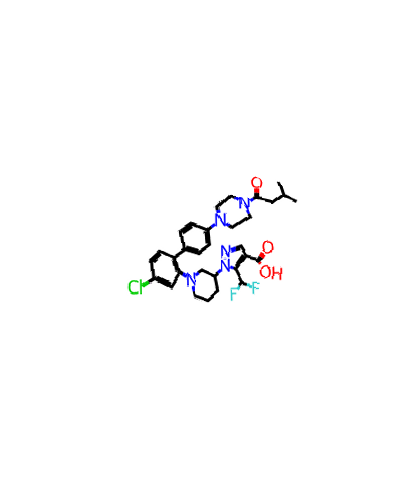 CC(C)CC(=O)N1CCN(c2ccc(-c3ccc(Cl)cc3N3CCCC(n4ncc(C(=O)O)c4C(F)F)C3)cc2)CC1